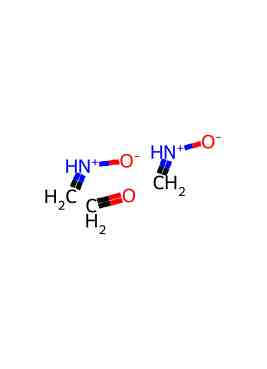 C=O.C=[NH+][O-].C=[NH+][O-]